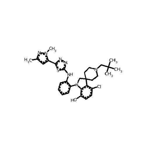 Cc1cc(-c2nnc(Nc3ccccc3N3CC4(CCN(CC(C)(C)C)CC4)c4c(Cl)ccc(O)c43)s2)n(C)n1